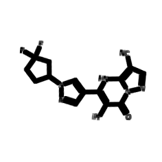 CC(C)c1c(-c2cnn(C3CCC(F)(F)C3)c2)[nH]c2c(C#N)cnn2c1=O